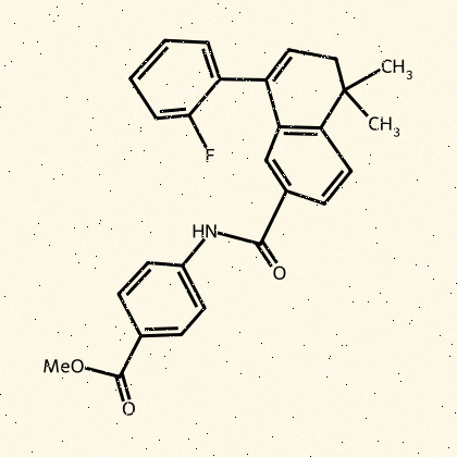 COC(=O)c1ccc(NC(=O)c2ccc3c(c2)C(c2ccccc2F)=CCC3(C)C)cc1